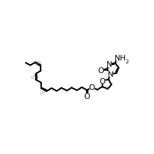 CC/C=C\C/C=C\C/C=C\CCCCCCCC(=O)OCC1CCC(n2ccc(N)nc2=O)O1